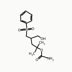 CC(C)(CC(CO)CS(=O)(=O)c1ccccc1)OC(N)=O